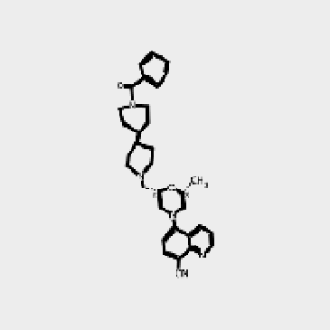 C[C@@H]1CN(c2ccc(C#N)c3ncccc23)C[C@H](CN2CCC(C3CCN(C(=O)c4ccccc4)CC3)CC2)O1